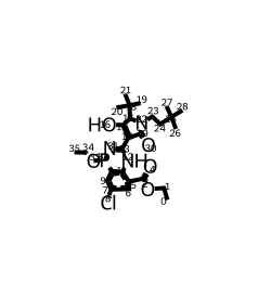 CCOC(=O)c1cc(Cl)cc2c1NC(C1=C(O)C(C(C)(C)C)N(CCC(C)(C)C)C1=O)=NP2OCC